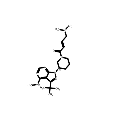 CNc1ncnc2c1c(C(C)(C)C)nn2[C@@H]1CCCN(C(=O)/C=C/CN(C)C)C1